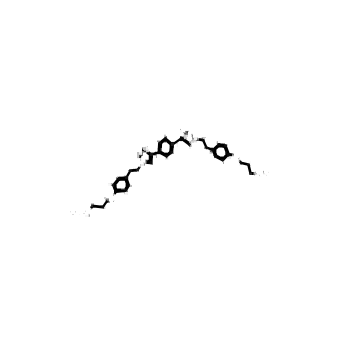 CNCCCOc1ccc(CCn2cc(-c3ccc(-c4cn(CCc5ccc(OCCCNC)cc5)nn4)cc3)nn2)cc1